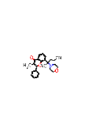 Cc1c(-c2ccccc2)oc2c(C(C#N)(CCC#N)N3CCOCC3)cccc2c1=O